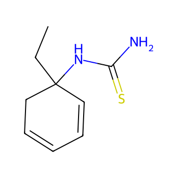 CCC1(NC(N)=S)C=CC=CC1